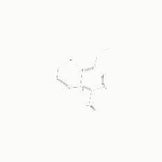 COc1ccc(C=S)c2c1CCC=C2